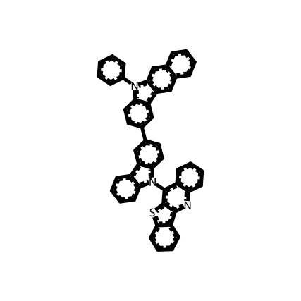 c1ccc(-n2c3ccc(-c4ccc5c(c4)c4ccccc4n5-c4c5ccccc5nc5c4sc4ccccc45)cc3c3cc4ccccc4cc32)cc1